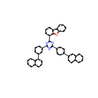 c1cc(-c2nc(-c3ccc(-c4ccc5ccccc5c4)cc3)nc(-c3cccc4c3oc3ccccc34)n2)cc(-c2cccc3ccccc23)c1